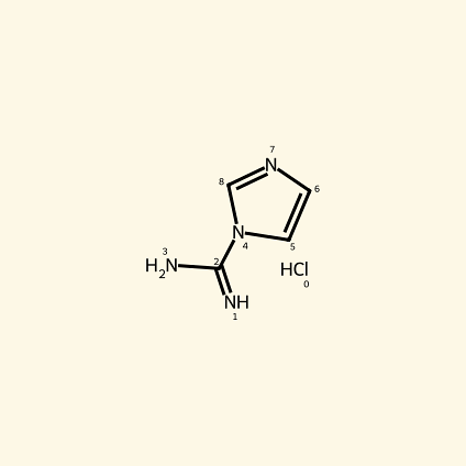 Cl.N=C(N)n1ccnc1